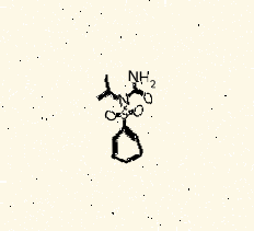 CC(C)N(C(N)=O)S(=O)(=O)c1ccccc1